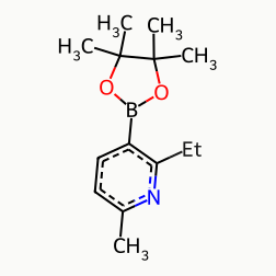 CCc1nc(C)ccc1B1OC(C)(C)C(C)(C)O1